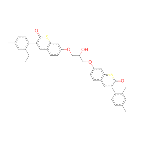 CCc1cc(C)ccc1-c1cc2ccc(OCC(O)COc3ccc4cc(-c5ccc(C)cc5CC)c(=O)sc4c3)cc2sc1=O